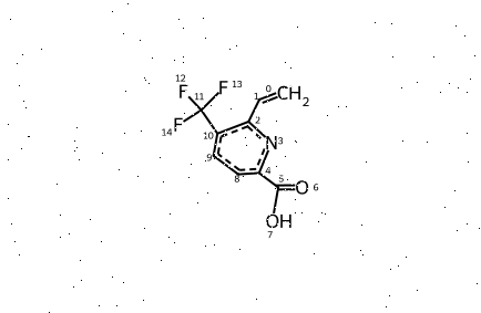 C=Cc1nc(C(=O)O)ccc1C(F)(F)F